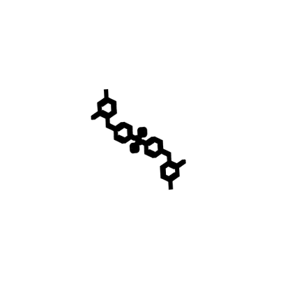 Cc1ccc(Cc2ccc(S(=O)(=O)c3ccc(Cc4ccc(C)cc4C)cc3)cc2)c(C)c1